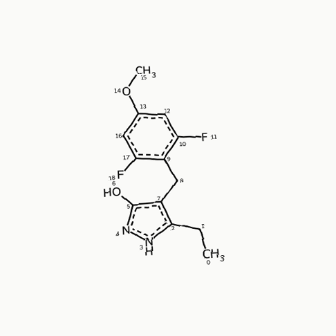 CCc1[nH]nc(O)c1Cc1c(F)cc(OC)cc1F